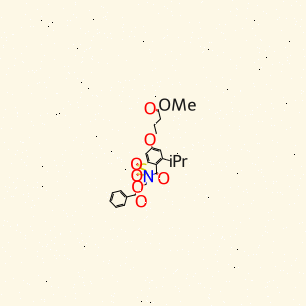 COC(=O)CCCOc1cc(C(C)C)c2c(c1)S(=O)(=O)N(COC(=O)c1ccccc1)C2=O